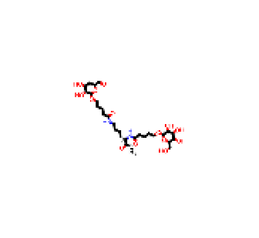 CC(=O)[C@H](CCCCNC(=O)CCCCOC1OC(C=O)CC(O)C1O)NC(=O)CCCCOC1OC(CO)C(O)C(O)C1O